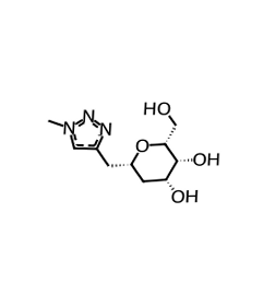 Cn1cc(C[C@H]2C[C@@H](O)[C@@H](O)[C@@H](CO)O2)nn1